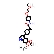 COCCOc1ccc(NC(=O)C2CC23CCC(c2ccnc4cc(OC)c(OC)cc24)CC3)cc1